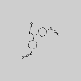 O=C=NC1CCC(C(N=C=O)C2CCC(N=C=O)CC2)CC1